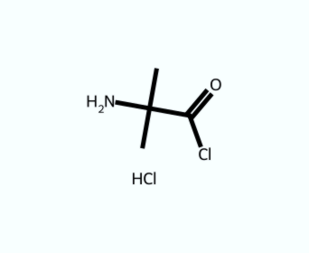 CC(C)(N)C(=O)Cl.Cl